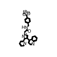 CC(C)(C)OC(=O)c1ccc(CNC(=O)Cn2cc(-c3ccnc4ccccc34)c(-c3ccccn3)n2)cc1